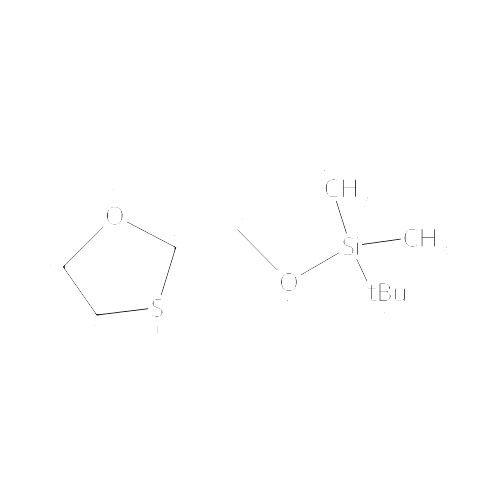 CC(C)(C)[Si](C)(C)OC[C@H]1OCCS1